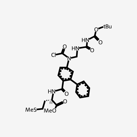 COC(=O)[C@H](CCSC)NC(=O)c1ccc(N(CNC(=O)NC(=O)OC(C)(C)C)C(=O)Cl)cc1-c1ccccc1